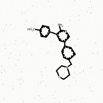 Nc1ncc(-c2ccc(CN3CCOCC3)cc2)cc1-c1ccc(C(=O)O)cc1